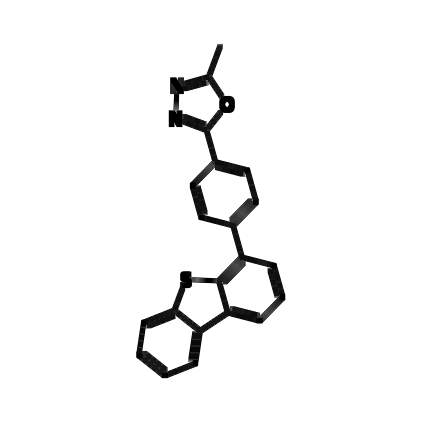 Cc1nnc(-c2ccc(-c3cccc4c3sc3ccccc34)cc2)o1